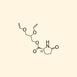 C=COCC(COC(=O)[C@@H]1CCC(=O)N1)OC=C